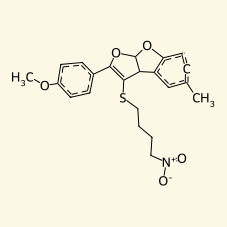 COc1ccc(C2=C(SCCCC[N+](=O)[O-])C3c4cc(C)ccc4OC3O2)cc1